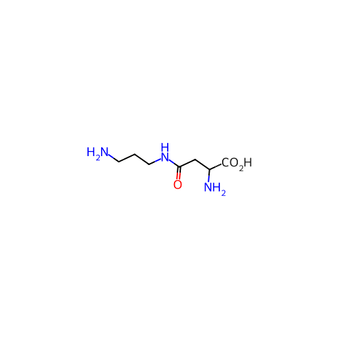 NCCCNC(=O)CC(N)C(=O)O